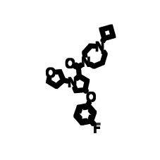 O=C(C1CC(Oc2cccc(F)c2)CN1C1CCOC1)N1CCCN(C2CCC2)CC1